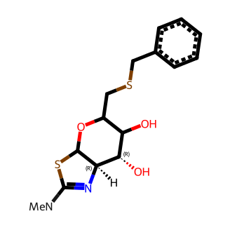 CNC1=N[C@H]2C(OC(CSCc3ccccc3)C(O)[C@@H]2O)S1